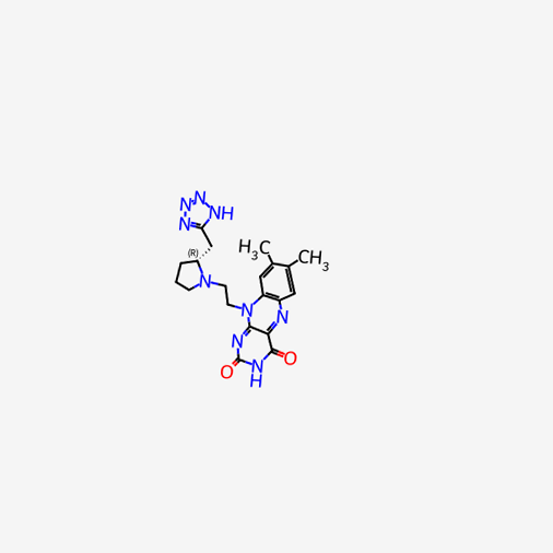 Cc1cc2nc3c(=O)[nH]c(=O)nc-3n(CCN3CCC[C@@H]3Cc3nnn[nH]3)c2cc1C